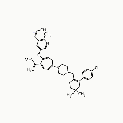 C=C(NC)C1=CC=C(N2CCN(CC3=C(c4ccc(Cl)cc4)CC(C)(C)CC3)CC2)CC=C1Oc1cnc(C)c(/C=C\C)c1